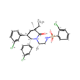 CC[C@@H](CNS(=O)(=O)c1ccccc1Cl)N1C(=O)[C@](C)(CC(=O)O)C[C@H](c2cccc(Cl)c2)[C@H]1c1ccc(Cl)cc1